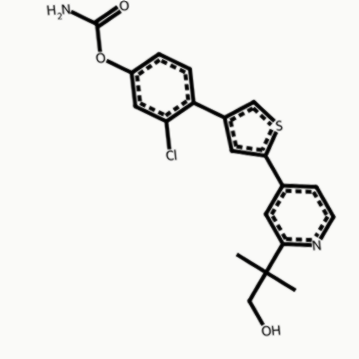 CC(C)(CO)c1cc(-c2cc(-c3ccc(OC(N)=O)cc3Cl)cs2)ccn1